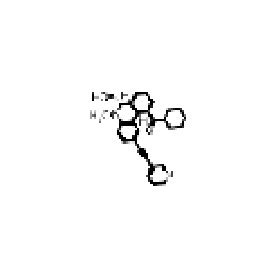 CN1c2ccc(C#Cc3cccnc3)cc2[C@H]2C(C(=O)C3CCCCC3)CCC[C@H]2[C@H]1CO